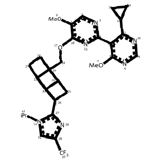 COc1cnc(-c2c(OC)ncnc2C2CC2)nc1OCC12C3C4C1C1C2C3C41c1nc(C(F)(F)F)cn1C(C)C